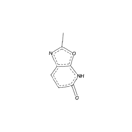 Cc1nc2ccc(=O)[nH]c2o1